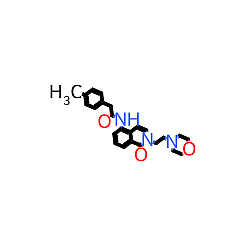 Cc1ccc(CC(=O)Nc2cccc3c(=O)n(CCN4CCOCC4)ccc23)cc1